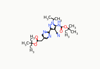 CC(C)n1nc(-c2ncc(CC(=O)OC(C)(C)C)cn2)c(C#N)c1NC(=O)OC(C)(C)C